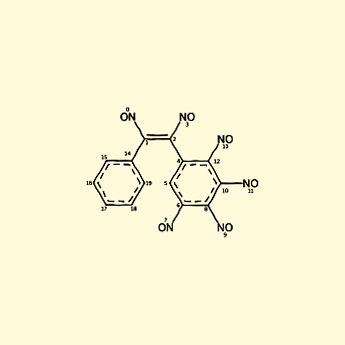 O=NC(=C(N=O)c1cc(N=O)c(N=O)c(N=O)c1N=O)c1ccccc1